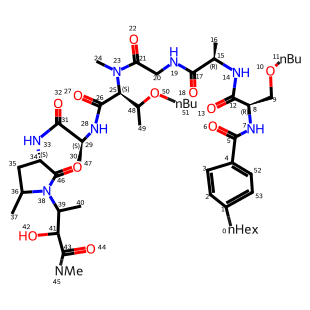 CCCCCCc1ccc(C(=O)N[C@H](COCCCC)C(=O)N[C@H](C)C(=O)NCC(=O)N(C)[C@H](C(=O)N[C@@H](C)C(=O)N[C@H]2CC(C)N(C(C)C(O)C(=O)NC)C2=O)C(C)OCCCC)cc1